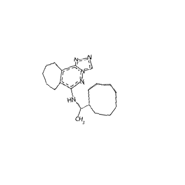 CC(Nc1nn2cnnc2c2c1CCCCC2)C1CCCCCCC1